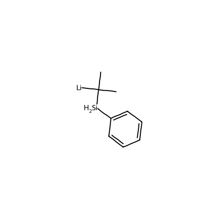 [Li][C](C)(C)[SiH2]c1ccccc1